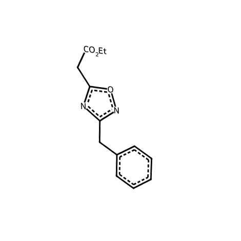 CCOC(=O)Cc1nc(Cc2ccccc2)no1